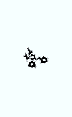 CC(N)C(=O)N1[C@H](c2cccc(F)c2)[C@H](OCc2ccccc2)C[C@@H]1C(C)(C)C#N